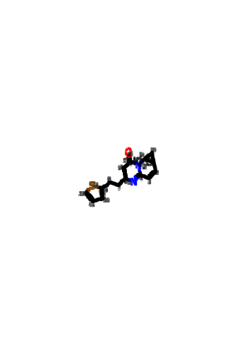 O=C(O)C12C=Cc3nc(CCc4cccs4)cc(=O)n3C1C2